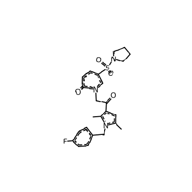 Cc1cc(C(=O)Cn2cc(S(=O)(=O)N3CCCC3)ccc2=O)c(C)n1Cc1ccc(F)cc1